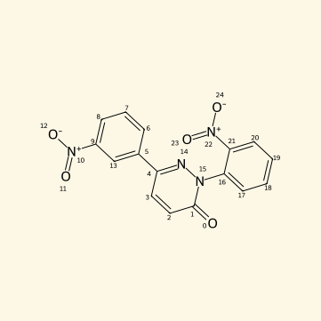 O=c1ccc(-c2cccc([N+](=O)[O-])c2)nn1-c1ccccc1[N+](=O)[O-]